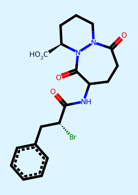 O=C(NC1CCC(=O)N2CCC[C@H](C(=O)O)N2C1=O)[C@H](Br)Cc1ccccc1